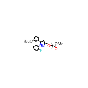 COC(=O)C(C)(C)OCc1cc(-c2cccc(OCC(C)C)c2)n(-c2ccccc2F)n1